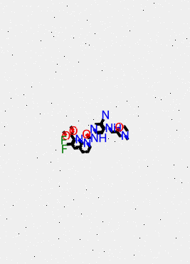 COC(OC)c1nc2c(cc1C(F)F)CCCN2C(=O)Nc1cc(NCC2CN(C)CCO2)c(C#N)cn1